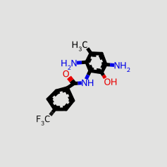 Cc1cc(N)c(O)c(NC(=O)c2ccc(C(F)(F)F)cc2)c1N